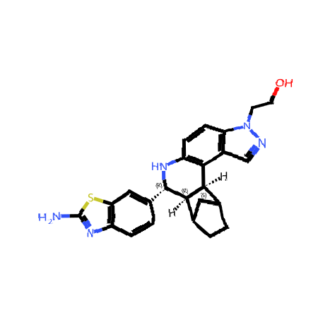 Nc1nc2ccc([C@@H]3Nc4ccc5c(cnn5CCO)c4[C@H]4C5CCC(C5)[C@@H]34)cc2s1